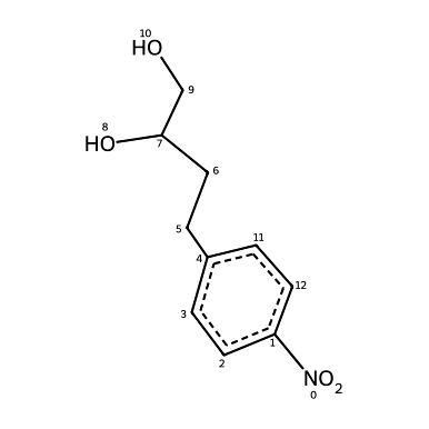 O=[N+]([O-])c1ccc(CCC(O)CO)cc1